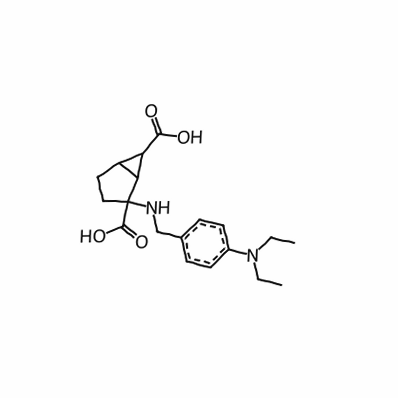 CCN(CC)c1ccc(CNC2(C(=O)O)CCC3C(C(=O)O)C32)cc1